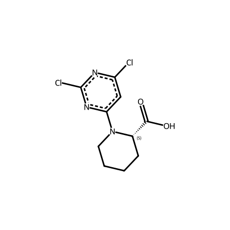 O=C(O)[C@@H]1CCCCN1c1cc(Cl)nc(Cl)n1